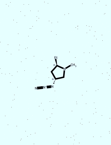 CC[C@@H]1C[C@@H](N=[N+]=[N-])CN1C